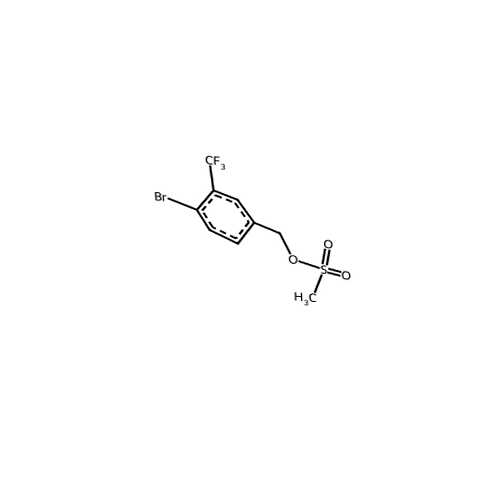 CS(=O)(=O)OCc1ccc(Br)c(C(F)(F)F)c1